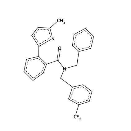 Cc1ccc(-c2ccccc2C(=O)N(Cc2ccccc2)Cc2cccc(C(F)(F)F)c2)s1